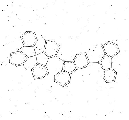 Cc1ccccc1C1(c2ccccc2C)c2ccccc2-c2c(-n3c4ccccc4c4cc(-n5c6ccccc6c6ccccc65)ccc43)ccc(C)c21